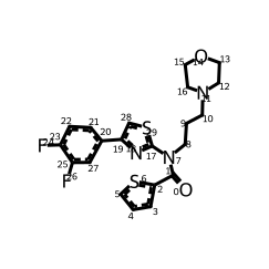 O=C(c1cccs1)N(CCCN1CCOCC1)c1nc(-c2ccc(F)c(F)c2)cs1